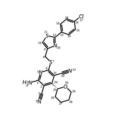 N#Cc1c(N)nc(SCc2csc(-c3ccc(Cl)cc3)n2)c(C#N)c1[C@H]1CCCCO1